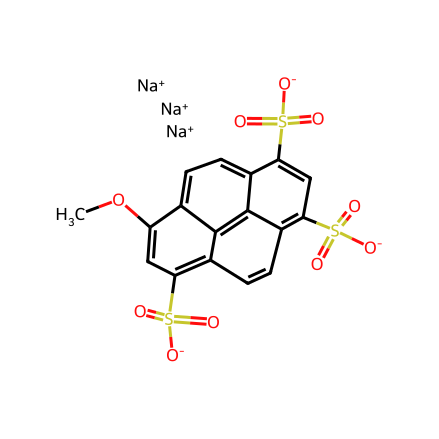 COc1cc(S(=O)(=O)[O-])c2ccc3c(S(=O)(=O)[O-])cc(S(=O)(=O)[O-])c4ccc1c2c43.[Na+].[Na+].[Na+]